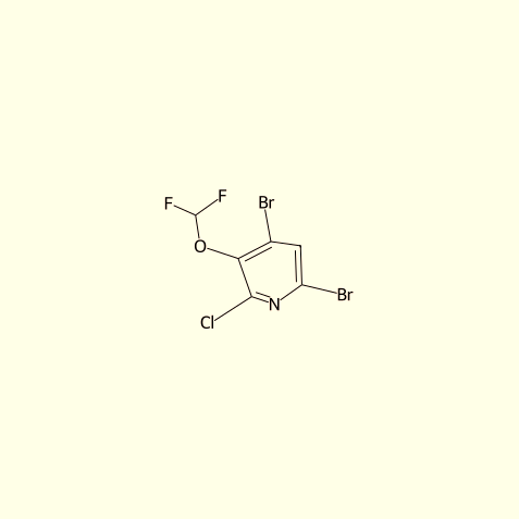 FC(F)Oc1c(Br)cc(Br)nc1Cl